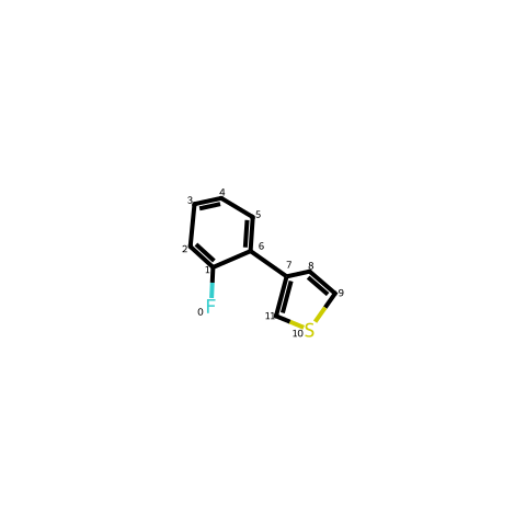 Fc1ccccc1-c1ccsc1